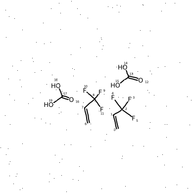 C=CC(F)(F)F.C=CC(F)(F)F.O=C(O)O.O=C(O)O